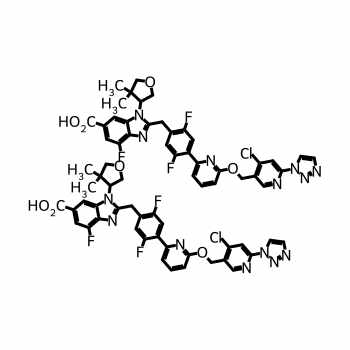 CC1(C)COCC1n1c(Cc2cc(F)c(-c3cccc(OCc4cnc(-n5ccnn5)cc4Cl)n3)cc2F)nc2c(F)cc(C(=O)O)cc21.CC1(C)COCC1n1c(Cc2cc(F)c(-c3cccc(OCc4cnc(-n5ccnn5)cc4Cl)n3)cc2F)nc2c(F)cc(C(=O)O)cc21